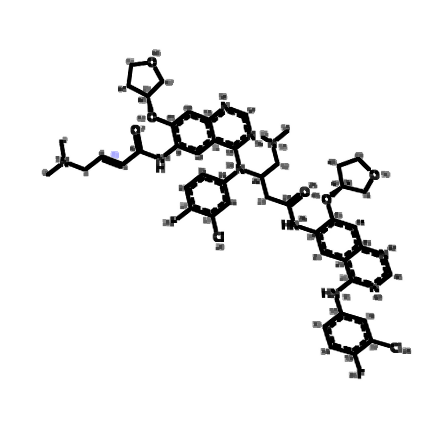 CN(C)C/C=C/C(=O)Nc1cc2c(N(c3ccc(F)c(Cl)c3)C(CC(=O)Nc3cc4c(Nc5ccc(F)c(Cl)c5)ncnc4cc3O[C@H]3CCOC3)CN(C)C)ncnc2cc1O[C@H]1CCOC1